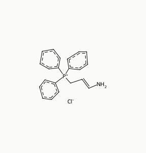 NC=CC[P+](c1ccccc1)(c1ccccc1)c1ccccc1.[Cl-]